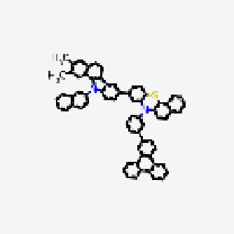 Cc1cc2ccc3c4cc(-c5ccc6c(c5)N(c5cccc(-c7ccc8c9ccccc9c9ccccc9c8c7)c5)c5ccc7ccccc7c5S6)ccc4n(-c4ccc5ccccc5c4)c3c2cc1C